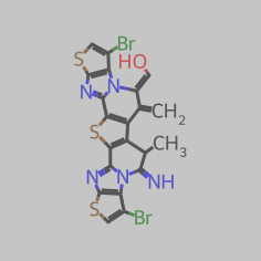 C=c1/c(=C/O)n2c(nc3scc(Br)c32)c2sc3c(c12)C(C)C(=N)n1c-3nc2scc(Br)c21